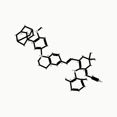 COc1ccc(N2CCCc3cc(/C=C/C4=C(Sc5c(C)cccc5C)C(=C/C#N)/CC(C)(C)C4)ccc32)cc1C12CC3CC(CC(C3)C1)C2